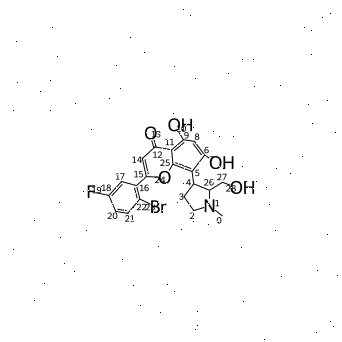 CN1CCC(c2c(O)cc(O)c3c(=O)cc(-c4cc(F)ccc4Br)oc23)C1CO